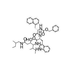 CCC(C)CNC(=O)CC(O)C(NC(=O)[C@H](Cc1c[nH]c2ccccc12)NC(=O)[C@H](Cc1cccc2ccccc12)NC(=O)OCc1ccccc1)C(C)CC